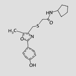 Cc1oc(-c2ccc(O)cc2)nc1CSCC(=O)NC1CCCC1